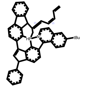 C=C/C=C\C=C1/C[PH]23c4c(ccc5c4C(=CC5c4ccccc4)c4ccc5c(c42)C1c1ccccc1-5)-c1c2ccc(C(C)(C)C)cc2cc[n+]13